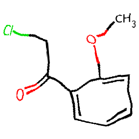 COc1ccccc1C(=O)CCl